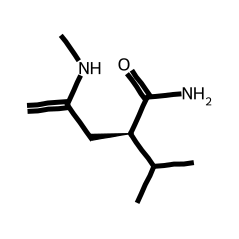 C=C(C[C@@H](C(N)=O)C(C)C)NC